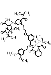 CCC(C)(C)C(=O)C(=O)N1CCCC[C@H]1C(=O)O[C@H](CCc1ccc(OC)c(OC)c1)c1cccc(OCCCN2C[C@@H](SC3=C(C(=O)O)N4C(=O)[C@H]([C@@H](C)O)[C@H]4[C@H]3C)C[C@H]2C(=O)N(C)C)c1